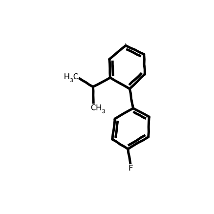 CC(C)c1c[c]ccc1-c1ccc(F)cc1